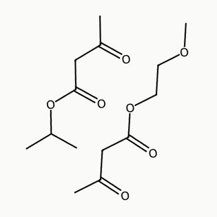 CC(=O)CC(=O)OC(C)C.COCCOC(=O)CC(C)=O